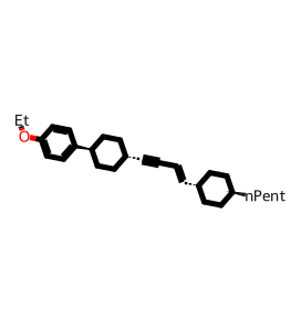 CCCCC[C@H]1CC[C@H](C=CC#C[C@H]2CC[C@H](c3ccc(OCC)cc3)CC2)CC1